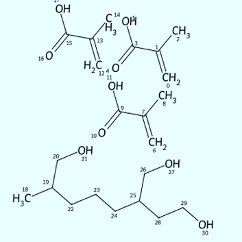 C=C(C)C(=O)O.C=C(C)C(=O)O.C=C(C)C(=O)O.CC(CO)CCCC(CO)CCO